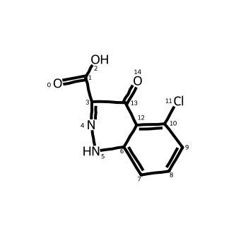 O=C(O)c1n[nH]c2cccc(Cl)c2c1=O